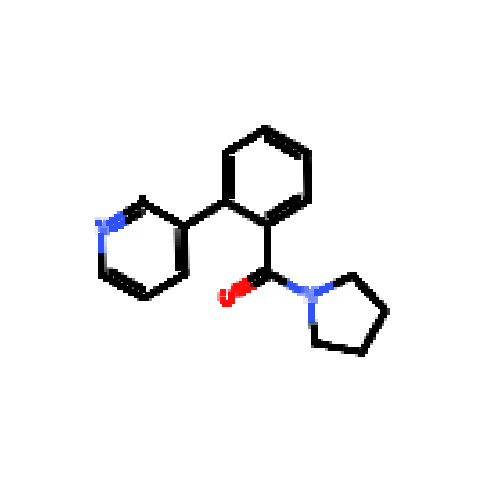 O=C(c1ccccc1-c1[c]nccc1)N1CCCC1